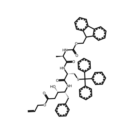 C=CCOC(=O)C[C@H](O)[C@@H](Cc1ccccc1)NC(=O)[C@@H](CSC(c1ccccc1)(c1ccccc1)c1ccccc1)NC(=O)[C@@H](C)NC(=O)OCC1c2ccccc2-c2ccccc21